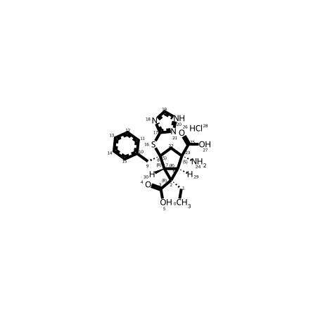 CC[C@@]1(C(=O)O)[C@H]2[C@H]1[C@@](Cc1ccccc1)(Sc1nc[nH]n1)C[C@@]2(N)C(=O)O.Cl